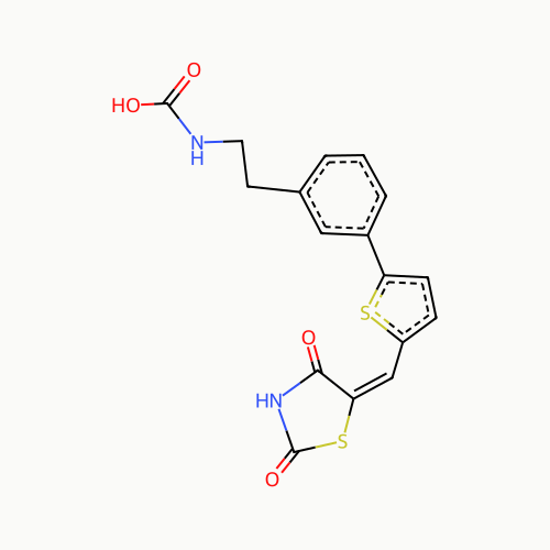 O=C(O)NCCc1cccc(-c2ccc(C=C3SC(=O)NC3=O)s2)c1